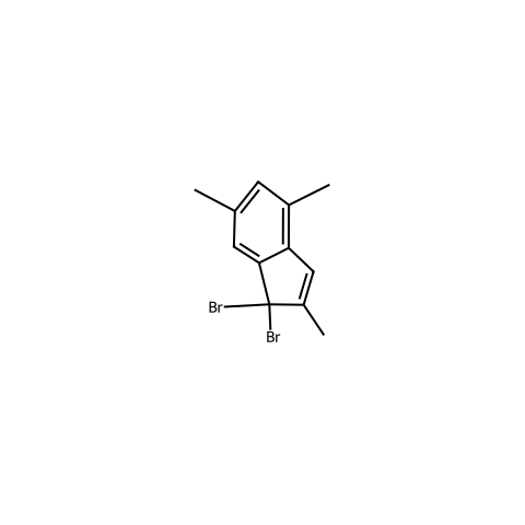 CC1=Cc2c(C)cc(C)cc2C1(Br)Br